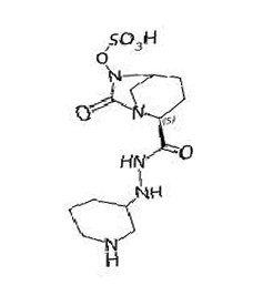 O=C(NNC1CCCNC1)[C@@H]1CCC2CN1C(=O)N2OS(=O)(=O)O